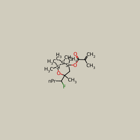 C=C(C)C(=O)O[Si]1(C)CC(C)(C(F)CCC)O[Si](C)(C)[Si]1(C)C